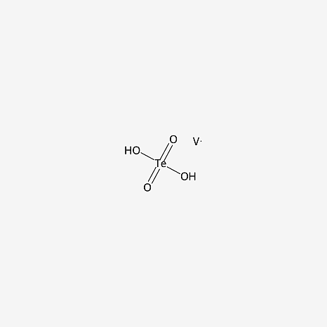 O=[Te](=O)(O)O.[V]